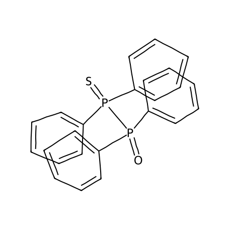 O=P(c1ccccc1)(c1ccccc1)P(=S)(c1ccccc1)c1ccccc1